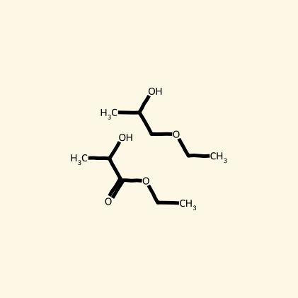 CCOC(=O)C(C)O.CCOCC(C)O